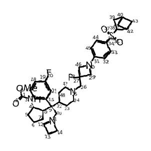 COC(=O)N[C@H]1CCC[C@@H]1[C@](CN1CCC1)(c1cccc(F)c1)C1CCN(CC2(F)CN(c3ccc(S(=O)(=O)C4CC5CC4C5)cc3)C2)CC1